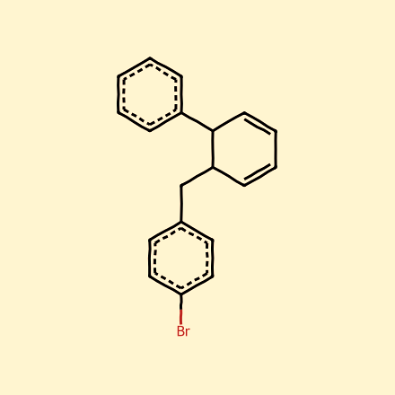 Brc1ccc(CC2C=CC=CC2c2ccccc2)cc1